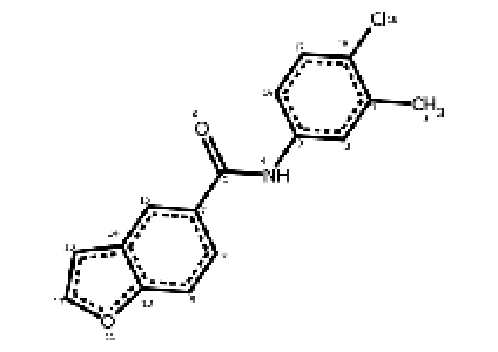 Cc1cc(NC(=O)c2ccc3occc3c2)ccc1Cl